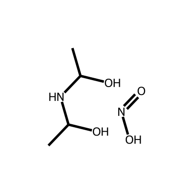 CC(O)NC(C)O.O=NO